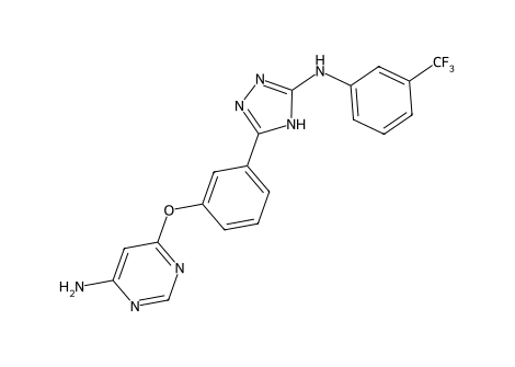 Nc1cc(Oc2cccc(-c3nnc(Nc4cccc(C(F)(F)F)c4)[nH]3)c2)ncn1